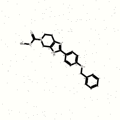 CC(C)(C)OC(=O)N1CCc2nc(-c3ccc(OCc4ccccc4)cc3)[nH]c2C1